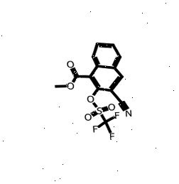 COC(=O)c1c(OS(=O)(=O)C(F)(F)F)c(C#N)cc2ccccc12